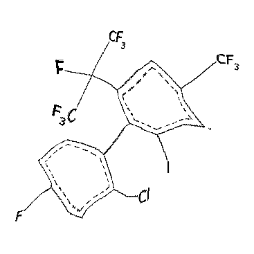 Fc1ccc(-c2c(I)[c]c(C(F)(F)F)cc2C(F)(C(F)(F)F)C(F)(F)F)c(Cl)c1